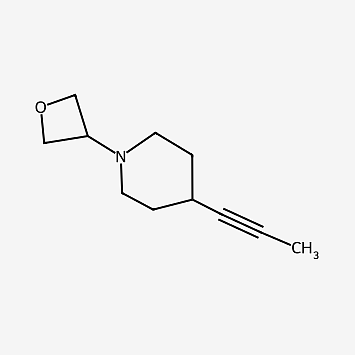 CC#CC1CCN(C2COC2)CC1